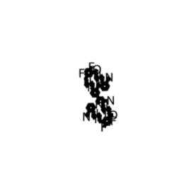 N#Cc1cc(-c2cnc(N3CCN(C(=O)c4cc(CN5CCN(c6ccccc6C#N)CC5)c(F)cc4F)CC3)c(C#N)c2)ccc1N1CCN(Cc2cc(C(=O)N3CCN(c4ccccc4C#N)CC3)c(F)cc2F)CC1